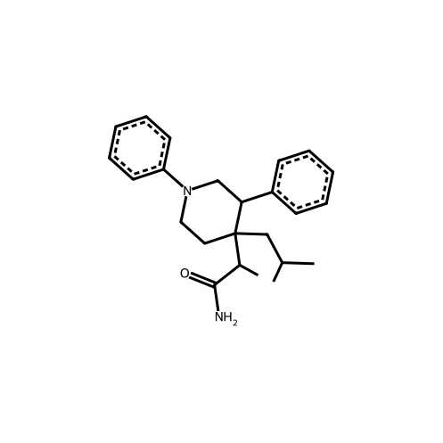 CC(C)CC1(C(C)C(N)=O)CCN(c2ccccc2)CC1c1ccccc1